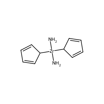 [NH2][Zr]([NH2])([CH]1C=CC=C1)[CH]1C=CC=C1